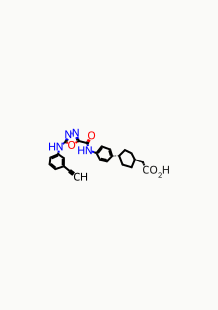 C#Cc1cccc(Nc2nnc(C(=O)Nc3ccc([C@H]4CC[C@H](CC(=O)O)CC4)cc3)o2)c1